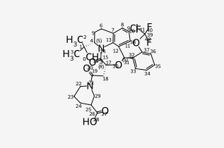 CC(C)(C)[C@@H]1CCc2cc(Cl)cc3c2N1C(=O)[C@@H](CC(=O)N1CCCC(C(=O)O)C1)O[C@@H]3c1ccccc1OC(F)(F)F